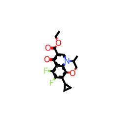 CCOC(=O)c1cn2c3c(c(C4CC4)c(F)c(F)c3c1=O)OCC2C